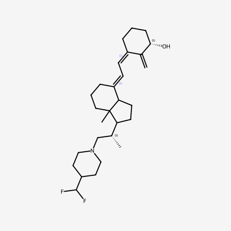 C=C1/C(=C\C=C2/CCCC3(C)C2CCC3[C@H](C)CN2CCC(C(F)F)CC2)CCC[C@@H]1O